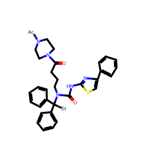 CCC(c1ccccc1)(c1ccccc1)N(CCCC(=O)N1CCN(C(C)=O)CC1)C(=O)Nc1nc(-c2ccccc2)cs1